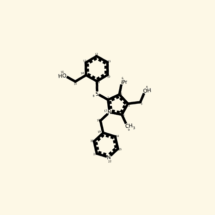 Cc1c(CO)c(C(C)C)c(Sc2ccccc2CO)n1Cc1ccncc1